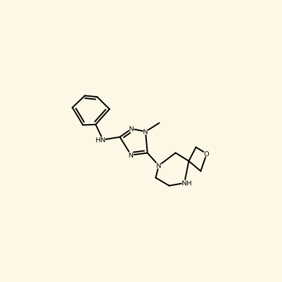 Cn1nc(Nc2ccccc2)nc1N1CCNC2(COC2)C1